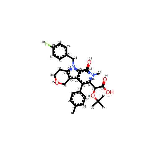 Cc1ccc(-c2c(C(OC(C)(C)C)C(=O)O)n(C)c(=O)c3c2c2c(n3Cc3ccc(F)cc3)CCOC2)cc1